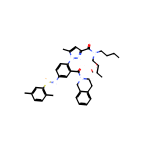 CCCCN(CCCC)C(=O)c1cc(C)n(-c2ccc(N[S+]([O-])c3cc(C)ccc3C)cc2C(=O)N2Cc3ccccc3C[C@H]2CO)n1